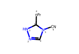 CCCC1NN=CN1C#N